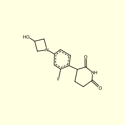 O=C1CCC(c2ccc(N3CC(O)C3)cc2F)C(=O)N1